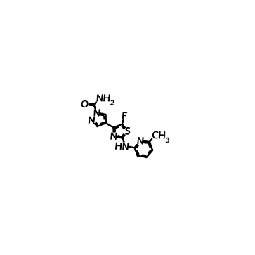 Cc1cccc(Nc2nc(-c3cnn(C(N)=O)c3)c(F)s2)n1